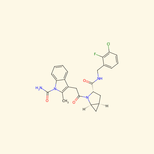 Cc1c(CC(=O)N2[C@@H]3C[C@@H]3C[C@H]2C(=O)NCc2cccc(Cl)c2F)c2ccccc2n1C(N)=O